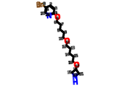 Brc1ccc(OCCCCCOCCCCCOC2CNC2)nc1